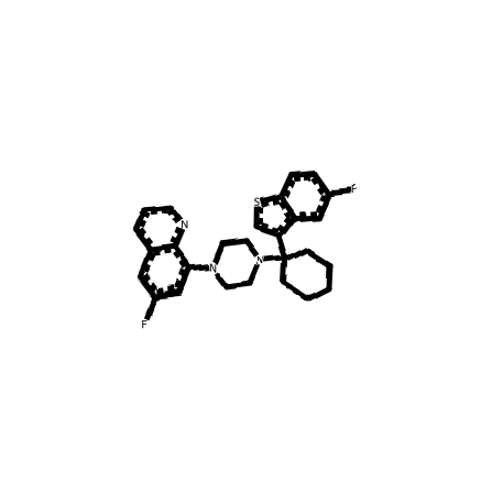 Fc1cc(N2CCN(C3(c4csc5ccc(F)cc45)CCCCC3)CC2)c2ncccc2c1